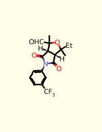 CCC1(C)OC(C)(C=O)[C@H]2C(=O)N(c3cccc(C(F)(F)F)c3)C(=O)[C@H]21